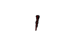 CCCCCCCCCCCCCCCCCCCCCCOCCCCCCCCCCCCOc1ccc2c(c1)C(=O)c1ccccc1-2